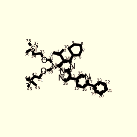 C=C(C)c1c(C2CCCCC2)nc2c(-c3ccc(-c4ccccc4)nc3)cnn2c1N(COCC[Si](C)(C)C)COCC[Si](C)(C)C